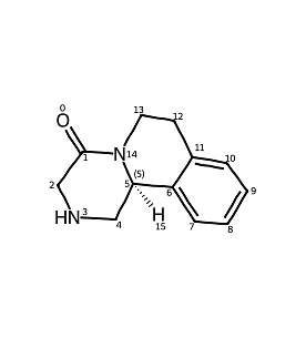 O=C1CNC[C@@H]2c3ccccc3CCN12